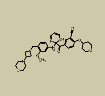 COc1cc(NC2(C(=O)c3ccc(OC4CCOCC4)c(C#N)c3)N=CC=CN2)ccc1CN1CC(N2CCOCC2)C1